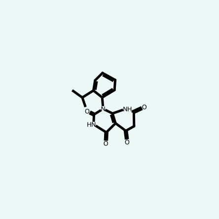 CC(C)c1ccccc1-n1c2c(c(=O)[nH]c1=O)C(=O)CC(=O)N2